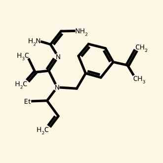 C=CC(CC)N(Cc1cccc(C(=C)C)c1)/C(=N/C(N)=C\N)C(=C)C